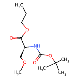 CCCOC(=O)[C@H](COC)NC(=O)OC(C)(C)C